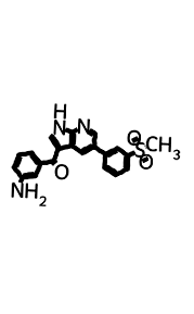 CS(=O)(=O)c1cccc(-c2cnc3[nH]cc(C(=O)c4cccc(N)c4)c3c2)c1